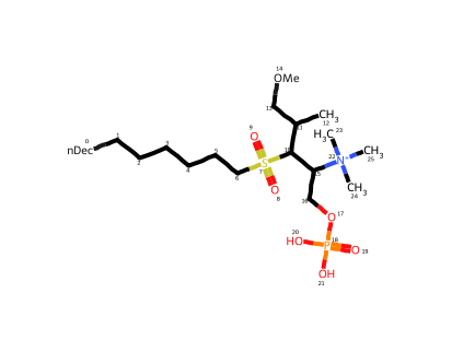 CCCCCCCCCCCCCCCCS(=O)(=O)C(C(C)COC)C(COP(=O)(O)O)[N+](C)(C)C